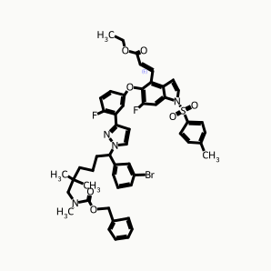 CCOC(=O)/C=C/c1c(Oc2ccc(F)c(-c3ccn(C(CCCC(C)(C)CN(C)C(=O)OCc4ccccc4)c4cccc(Br)c4)n3)c2)c(F)cc2c1ccn2S(=O)(=O)c1ccc(C)cc1